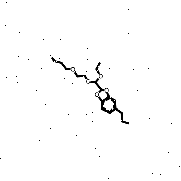 CCCCOCCOC(OCC)C1Oc2ccc(CCC)cc2O1